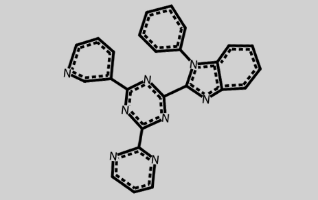 c1ccc(-n2c(-c3nc(-c4cccnc4)nc(-c4ncccn4)n3)nc3ccccc32)cc1